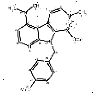 COC(=O)c1c(/N=C\N(C)C)c2c(N(C)C)ccnc2n1Cc1ccc(OC)cc1